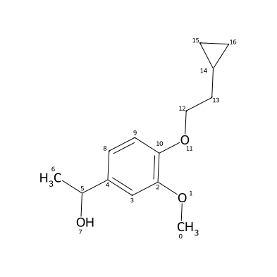 COc1cc(C(C)O)ccc1OCCC1CC1